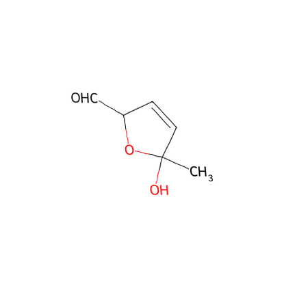 CC1(O)C=CC(C=O)O1